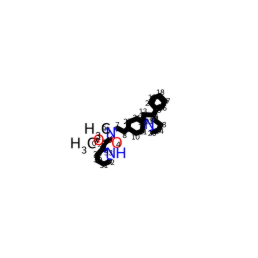 COC(C(=O)N(C)CCC1CCC(CCc2ccccc2)(N2CCCC2)CC1)C1CCCCN1